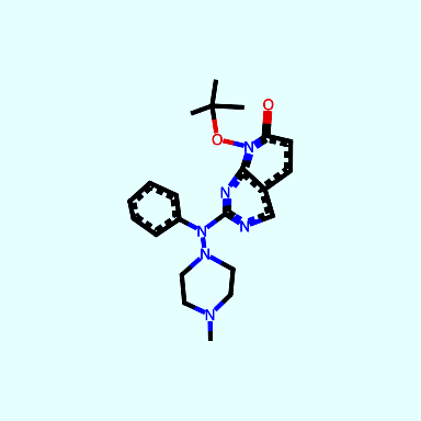 CN1CCN(N(c2ccccc2)c2ncc3ccc(=O)n(OC(C)(C)C)c3n2)CC1